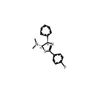 CN(C)[C@H]1SC(c2ccc(F)cc2)=N[C@@H]1c1ccccc1